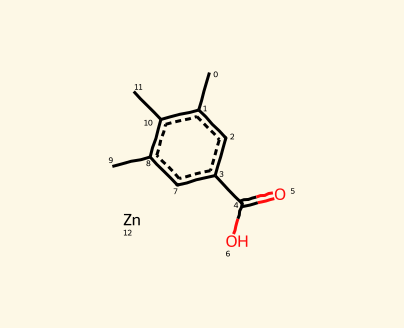 Cc1cc(C(=O)O)cc(C)c1C.[Zn]